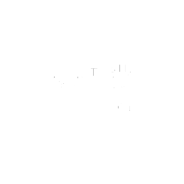 [Ag].[Cr].[Cu].[Fe].[SiH4].[Ti]